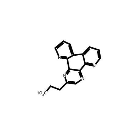 O=C(O)CCc1cnc2c3ncccc3c3cccnc3c2n1